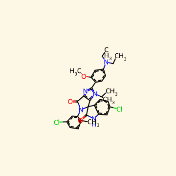 CCN(CC)c1ccc(-c2nc3c(n2C(C)C)C2(C(=O)Nc4cc(Cl)ccc42)N(c2cc(Cl)ccc2C)C3=O)c(OC)c1